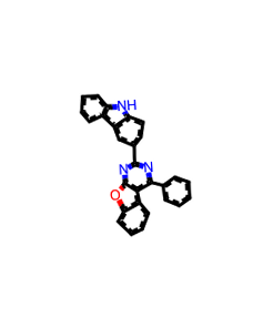 c1ccc(-c2nc(-c3ccc4[nH]c5ccccc5c4c3)nc3oc4ccccc4c23)cc1